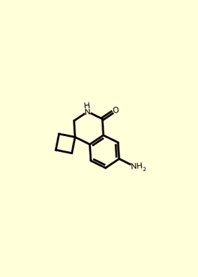 Nc1ccc2c(c1)C(=O)NCC21CCC1